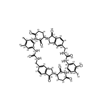 Cc1ccc(NC(=O)NCc2ccc3c(c2)CN(C2CCC(=O)NC2=O)C3=O)cc1C.O=C1CCC(N2Cc3cc(CNC(=O)Nc4ccc(F)c(Cl)c4)ccc3C2=O)C(=O)N1